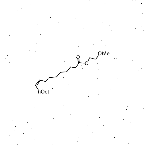 CCCCCCCC/C=C\CCCCCCCC(=O)OCCOC